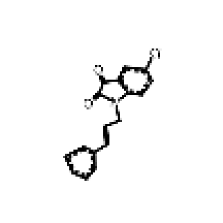 O=C1C(=O)N(CC=Cc2ccccc2)c2ccc(Cl)cc21